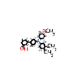 COc1ccc(N(c2ccc(-c3cccc(O)c3)cc2)c2ccc(C)c(C)c2)cc1